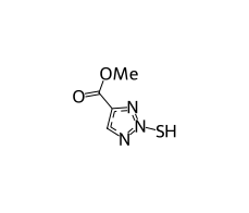 COC(=O)c1cnn(S)n1